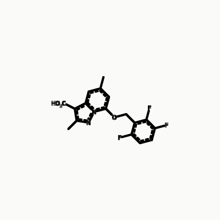 Cc1cc(OCc2c(F)ccc(F)c2F)n2nc(C)c(C(=O)O)c2c1